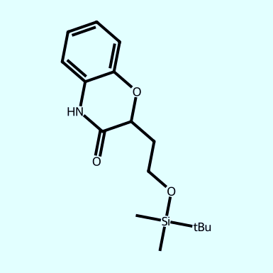 CC(C)(C)[Si](C)(C)OCCC1Oc2ccccc2NC1=O